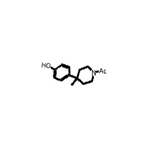 CC(=O)N1CCC(C)(c2ccc(O)cc2)CC1